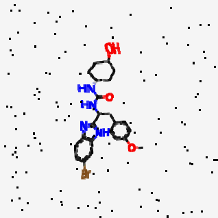 COc1ccc(CC(NC(=O)N[C@H]2CC[C@H](O)CC2)c2nc3ccc(Br)cc3[nH]2)cc1